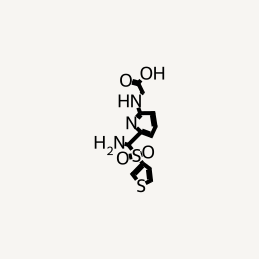 NC(c1cccc(NCC(=O)O)n1)S(=O)(=O)c1ccsc1